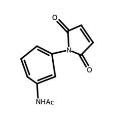 CC(=O)Nc1cccc(N2C(=O)C=CC2=O)c1